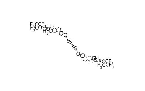 CC12CCC3c4ccc(OCCSSCCSSCCOc5ccc6c(c5)CCC5C6CCC6(C)C(OCCCOC(C(F)(F)F)(C(F)(F)F)C(F)(F)F)CCC56)cc4CCC3C1CCC2OCCCOC(C(F)(F)F)(C(F)(F)F)C(F)(F)F